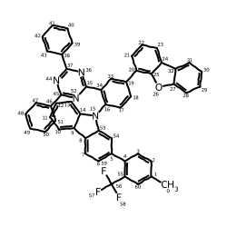 Cc1ccc(-c2ccc3c4ccccc4n(-c4ccc(-c5cccc6c5oc5ccccc56)cc4-c4nc(-c5ccccc5)nc(-c5ccccc5)n4)c3c2)c(C(F)(F)F)c1